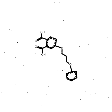 O=C(O)c1ccc(OCCCOc2ccccc2)cc1C(=O)O